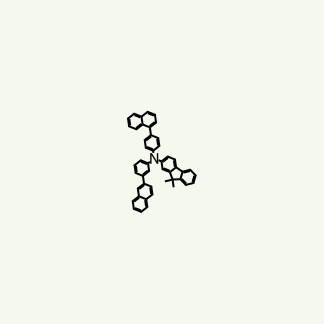 CC1(C)c2ccccc2-c2ccc(N(c3ccc(-c4cccc5ccccc45)cc3)c3cccc(-c4ccc5ccccc5c4)c3)cc21